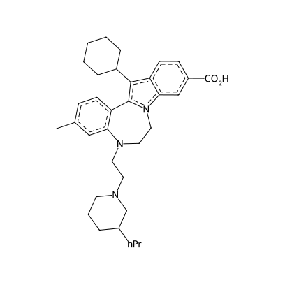 CCCC1CCCN(CCN2CCn3c(c(C4CCCCC4)c4ccc(C(=O)O)cc43)-c3ccc(C)cc32)C1